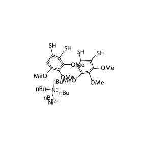 CCCC[N+](CCCC)(CCCC)CCCC.COc1cc(S)c(S)c(OC)c1OC.COc1cc(S)c(S)c(OC)c1OC.[Ni+2]